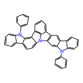 c1ccc(-n2c3ccccc3c3cc4c5cccc6c7c8c(ccc7n(c4cc32)c56)c2ccccc2n8-c2ccccc2)cc1